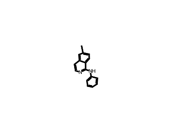 Cc1ccc2c(Nc3ccccc3)nccc2c1